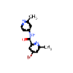 Cc1cc(NC(=O)c2cc(Br)cc(C)n2)ccn1